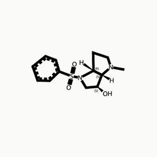 CN1CC[C@@H]2[C@H]1[C@@H](O)CN2S(=O)(=O)c1ccccc1